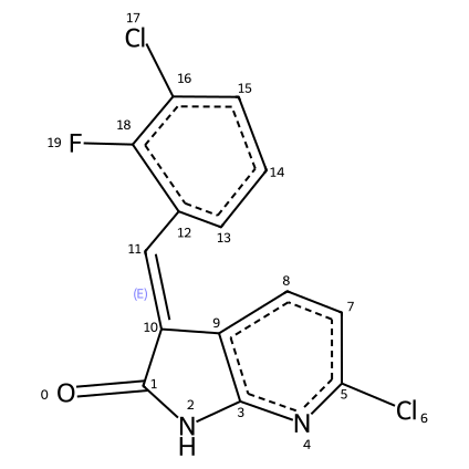 O=C1Nc2nc(Cl)ccc2/C1=C\c1cccc(Cl)c1F